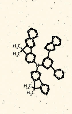 CC1(C)c2ccccc2-c2cc(N(c3cc(-c4ccccc4)cc(-c4ccc5ccccc5c4)c3)c3ccc4c(c3)-c3cc5ccccc5cc3C4(C)C)ccc21